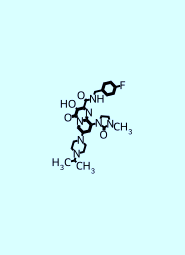 CC(C)N1CCN(c2cc(N3CCN(C)C3=O)c3nc(C(=O)NCc4ccc(F)cc4)c(O)c(=O)n3c2)CC1